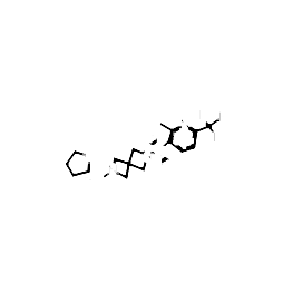 Cc1nc(C(F)(F)F)ccc1S(=O)(=O)N1CC2(CN(C[C@@H]3CCCO3)C2)C1